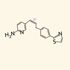 Nc1ccc(/C=C\Cc2ccc(-c3nccs3)cc2)cn1